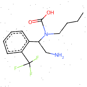 CCCCN(C(=O)O)C(CN)c1ccccc1C(F)(F)F